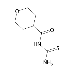 NC(=S)NC(=O)C1CCOCC1